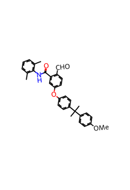 COc1ccc(C(C)(C)c2ccc(Oc3ccc(C=O)c(C(=O)Nc4c(C)cccc4C)c3)cc2)cc1